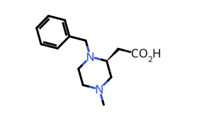 CN1CCN(Cc2ccccc2)[C@@H](CC(=O)O)C1